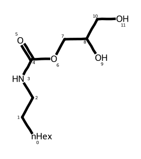 CCCCCCCCNC(=O)OCC(O)CO